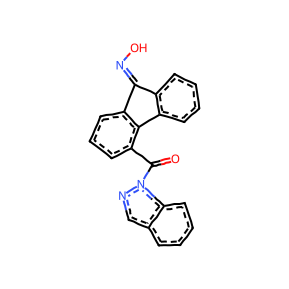 O=C(c1cccc2c1-c1ccccc1C2=NO)n1ncc2ccccc21